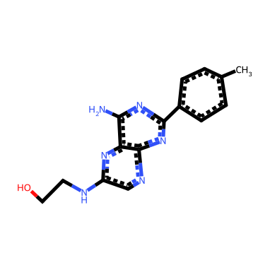 Cc1ccc(-c2nc(N)c3nc(NCCO)cnc3n2)cc1